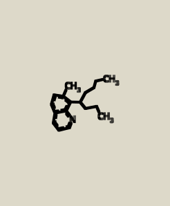 CCCCC(CCC)c1c(C)ccc2cccnc12